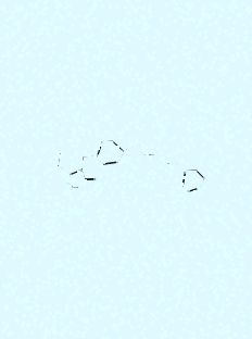 Cc1cc(OCCOCc2ccccc2)ccc1Cc1c(C(C)C)[nH][nH]c1=O